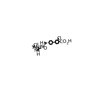 CC(C)(c1n[nH]c(CNC(=O)[C@H]2C[C@@H]2c2ccc(-c3ccc(C(=O)O)c(Cl)c3)cc2)n1)C(F)(F)F